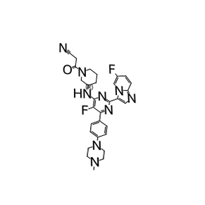 CN1CCN(c2ccc(-c3nc(-c4cnc5ccc(F)cn45)nc(N[C@@H]4CCCN(C(=O)CC#N)C4)c3F)cc2)CC1